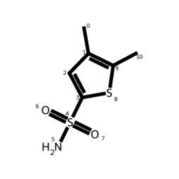 Cc1cc(S(N)(=O)=O)sc1C